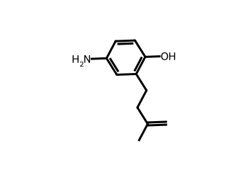 C=C(C)CCc1cc(N)ccc1O